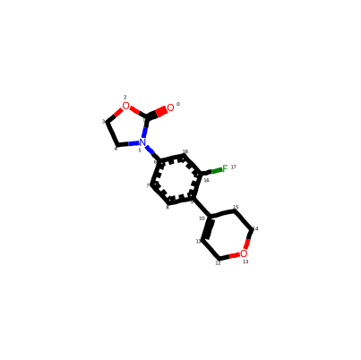 O=C1OCCN1c1ccc(C2=CCOCC2)c(F)c1